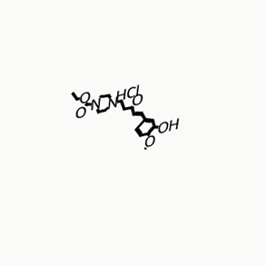 CCOC(=O)N1CCN(CCC(=O)C=Cc2ccc(OC)c(O)c2)CC1.Cl